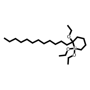 CCCCCCCCCCCCC1(OCC)CCCC[Si]1(OCC)OCC